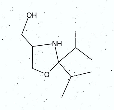 CC(C)C1(C(C)C)NC(CO)CO1